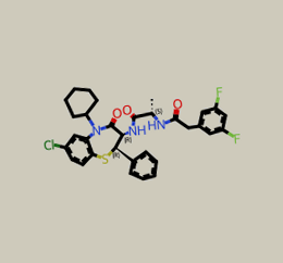 C[C@H](NC(=O)Cc1cc(F)cc(F)c1)C(=O)N[C@@H]1C(=O)N(C2CCCCC2)c2cc(Cl)ccc2S[C@@H]1c1ccccc1